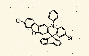 Clc1ccc2c(c1)oc1cc3c(cc12)N(c1ccccc1)c1ccc(Br)cc1C31c2ccccc2-c2ccccc21